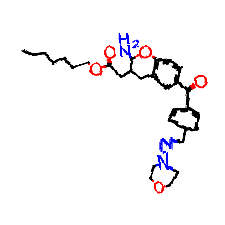 CCCCCCCOC(=O)CC1Cc2cc(C(=O)c3ccc(C=NN4CCOCC4)cc3)ccc2OC1N